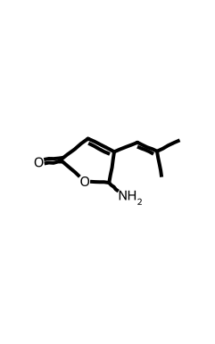 CC(C)=CC1=CC(=O)OC1N